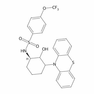 O=S(=O)(N[C@@H]1CCCC(N2c3ccccc3Sc3ccccc32)C1O)c1ccc(OC(F)(F)F)cc1